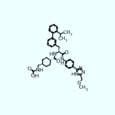 COCc1nnc(-c2ccc(NC(=O)[C@H](Cc3cccc(-c4ccccc4C(C)C)c3)NC(=O)[C@H]3CC[C@H](CNC(=O)O)CC3)cc2)[nH]1